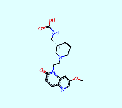 COc1cnc2ccc(=O)n(CCN3CCC[C@@H](CNC(=O)O)C3)c2c1